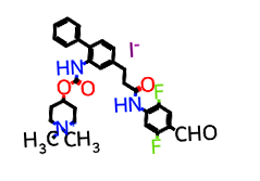 C[N+]1(C)CCC(OC(=O)Nc2cc(CCC(=O)Nc3cc(F)c(C=O)cc3F)ccc2-c2ccccc2)CC1.[I-]